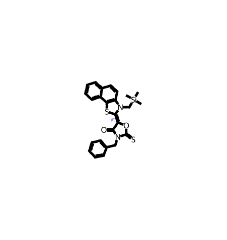 C[Si](C)(C)CN1/C(=C2\OC(=S)N(Cc3ccccc3)C2=O)Sc2c1ccc1ccccc21